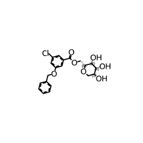 O=C(OC[C@H]1OC[C@H](O)[C@@H](O)[C@H]1O)c1cc(Cl)cc(OCc2ccccc2)c1